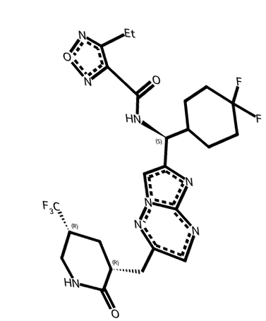 CCc1nonc1C(=O)N[C@H](c1cn2nc(C[C@H]3C[C@@H](C(F)(F)F)CNC3=O)cnc2n1)C1CCC(F)(F)CC1